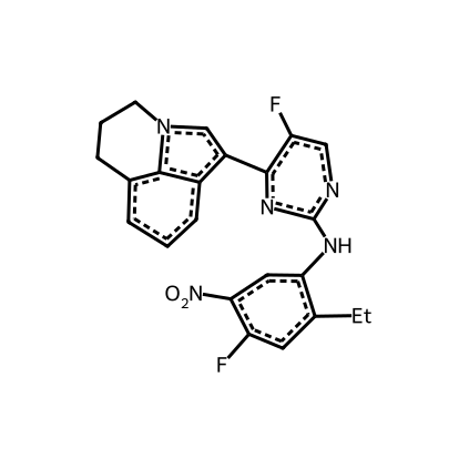 CCc1cc(F)c([N+](=O)[O-])cc1Nc1ncc(F)c(-c2cn3c4c(cccc24)CCC3)n1